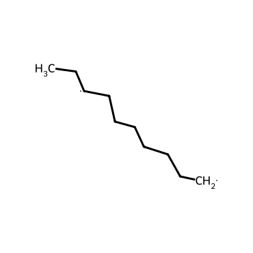 [CH2]CCCCCC[CH]CC